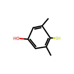 Cc1cc(O)cc(C)c1S